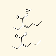 CCCC=C(CC)C(=O)[O-].CCCC=C(CC)C(=O)[O-].[Cr+2]